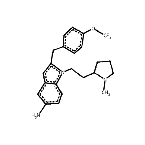 CN1CCCC1CCn1c(Cc2ccc(OC(F)(F)F)cc2)cc2cc(N)ccc21